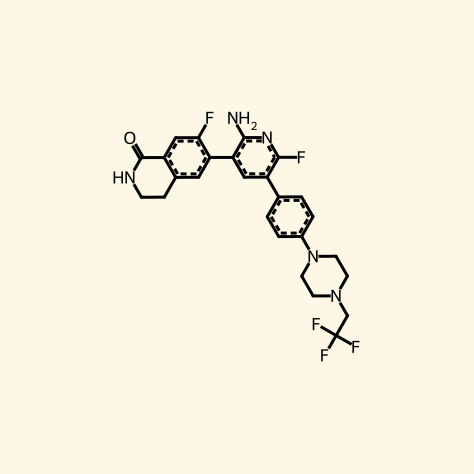 Nc1nc(F)c(-c2ccc(N3CCN(CC(F)(F)F)CC3)cc2)cc1-c1cc2c(cc1F)C(=O)NCC2